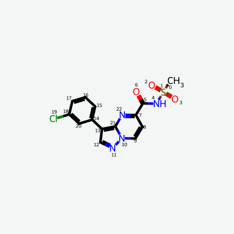 CS(=O)(=O)NC(=O)c1ccn2ncc(-c3cccc(Cl)c3)c2n1